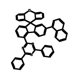 c1ccc(-c2nc(-c3ccccc3)nc(-c3cccc4c3-c3ccc(-c5cccc6ccccc56)cc3C43c4ccccc4Oc4ccccc43)n2)cc1